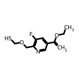 C=C(OCC)c1cnc(COCS)c(F)c1